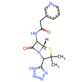 CC1(C)S[C@H]2C(NC(=O)Cc3cccnc3)C(=O)N2C1c1nnn[nH]1